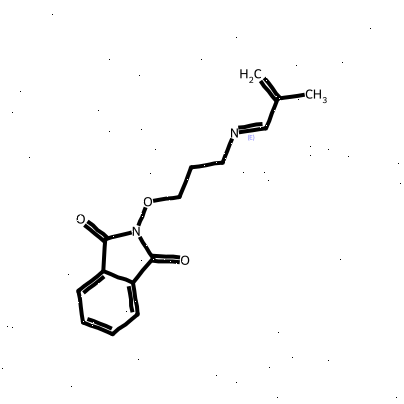 C=C(C)/C=N/CCCON1C(=O)c2ccccc2C1=O